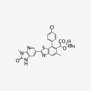 Cc1cc2nc(-c3cnc4c(c3)[nH]c(=O)n4C)sc2c(-c2ccc(Cl)cc2)c1[C@H](OC(C)(C)C)C(=O)O